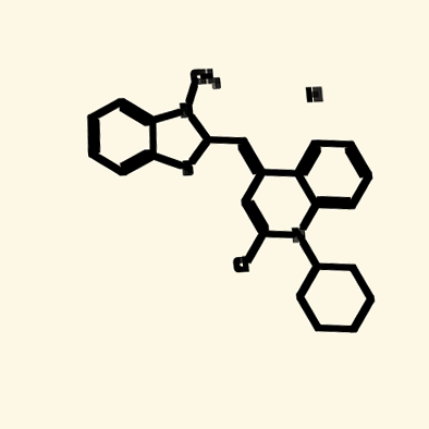 CN1c2ccccc2SC1C=C1C=C(Cl)N(C2CCCCC2)c2ccccc21.I